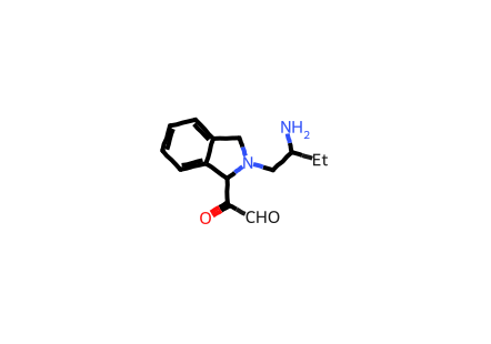 CCC(N)CN1Cc2ccccc2C1C(=O)C=O